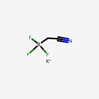 N#CC[B-](F)(F)F.[K+]